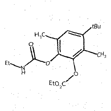 CCNC(=O)Oc1c(C)cc(C(C)(C)C)c(C)c1OC(=O)OCC